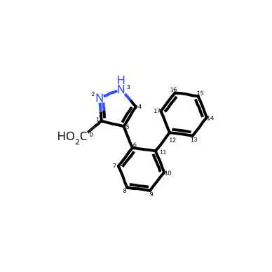 O=C(O)c1n[nH]cc1-c1ccccc1-c1ccccc1